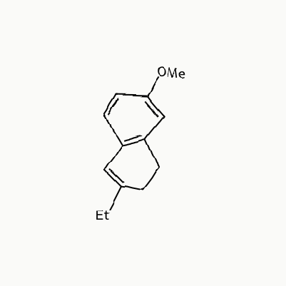 CCC1=Cc2ccc(OC)cc2CC1